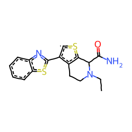 CCN1CCc2c(-c3nc4ccccc4s3)[c]sc2C1C(N)=O